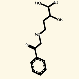 CCC(O)C(O)CCNCC(=O)c1ccccc1